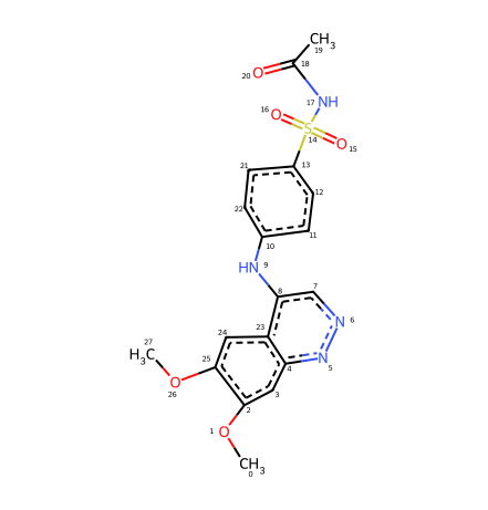 COc1cc2nncc(Nc3ccc(S(=O)(=O)NC(C)=O)cc3)c2cc1OC